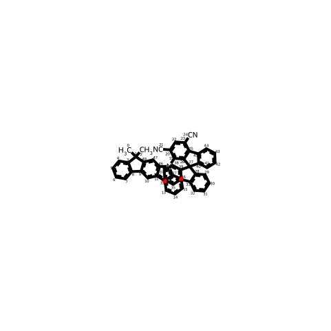 CC1(C)c2ccccc2-c2cc3c4ccccc4n(-c4c(C#N)cc(C#N)c5c4C4(c6ccccc6-c6ccccc64)c4ccccc4-5)c3cc21